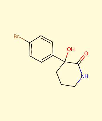 O=C1NCCCC1(O)c1ccc(Br)cc1